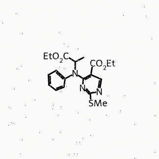 CCOC(=O)c1cnc(SC)nc1N(c1ccccc1)C(C)C(=O)OCC